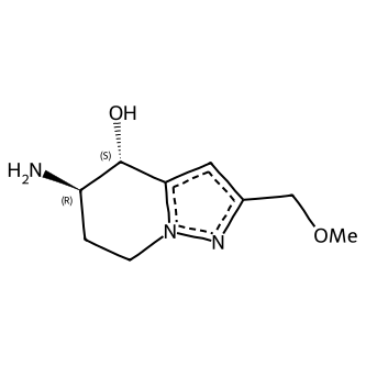 COCc1cc2n(n1)CC[C@@H](N)[C@@H]2O